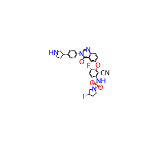 N#Cc1c(NS(=O)(=O)N2CC[C@@H](F)C2)ccc(F)c1Oc1ccc2ncn(-c3ccc(C4CCNC4)cc3)c(=O)c2c1